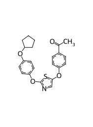 CC(=O)c1ccc(Oc2cnc(Oc3ccc(OC4CCCC4)cc3)s2)cc1